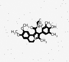 CCNC(=O)c1c(-c2cc(C)c(O)c(C)c2)c(C)n2c1-c1cc(OC)c(OC)cc1CC2